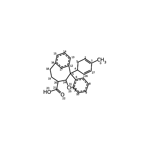 CC1=CCC(C2(c3ccccc3)c3cccc(c3)CCC(C(=O)O)C2C)C=C1